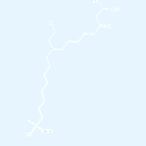 CCCCCCCCCC(C)(O)CCCCCCCCN(CCO)CCCCCC(=O)OC(CCCCCCCC)CCCCCCCC